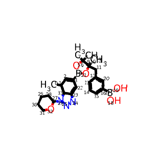 CC1C=C(B2OC(C)(C)C(C)(Cc3cccc(B(O)O)c3)O2)C=C2N=NN(C3CCCCO3)C21